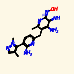 CC1=N/C(=N/O)C(=N)C(N)=C1Cc1ccc(-c2c(C)cnn2C)c(N)n1